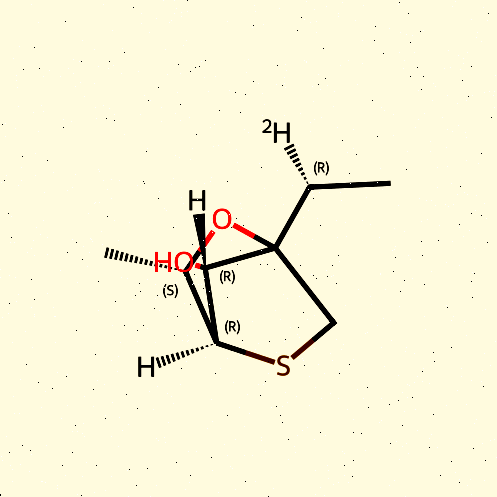 [2H][C@H](C)C12CS[C@@H]([C@H](C)O1)[C@@H]2O